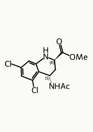 COC(=O)[C@H]1C[C@H](NC(C)=O)c2c(Cl)cc(Cl)cc2N1